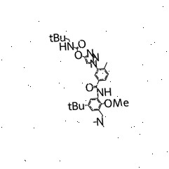 COc1c(CN(C)C)cc(C(C)(C)C)cc1NC(=O)c1ccc(C)c(-n2cc(OC(=O)NCC(C)(C)C)nn2)c1